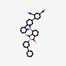 N#Cc1ccc(-c2ccc3c4ccccc4n(-c4cccc5c4C(=O)N(c4cccc(-c6ccccc6)c4)C5=O)c3c2)c(C#N)c1